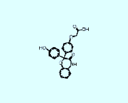 O=C(O)COc1ccc(C2(c3ccc(O)cc3)Oc3ccccc3NC2=O)cc1